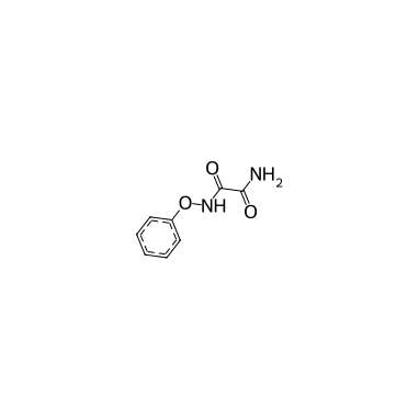 NC(=O)C(=O)NOc1ccccc1